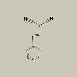 N#CC(C#N)C=Cc1ccccc1